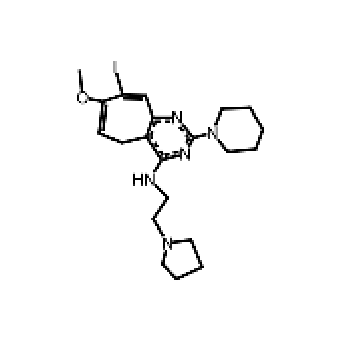 COC1=CCc2c(nc(N3CCCCC3)nc2NCCN2CCCC2)C=C1I